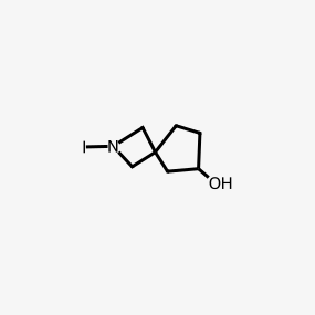 OC1CCC2(C1)CN(I)C2